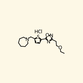 CCOCCc1noc(-c2ccc(CN3CCCCCC3)s2)n1.Cl